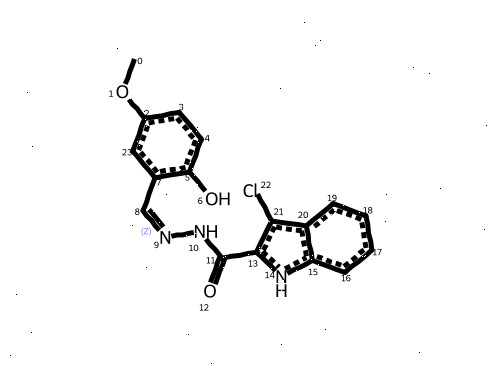 COc1ccc(O)c(/C=N\NC(=O)c2[nH]c3ccccc3c2Cl)c1